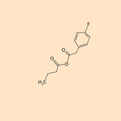 [CH2]CCC(=O)OC(=O)Cc1ccc(F)cc1